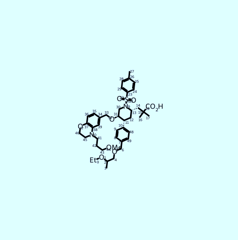 CCOC(C)COCc1ccc([C@H]2C[C@@H](CC(C)(C)C(=O)O)N(S(=O)(=O)c3ccc(C)cc3)C[C@@H]2OCc2ccc3c(c2)N(CCCOC)CCO3)cc1